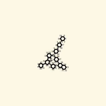 c1ccc(-c2ccc(-c3ccc(N(c4ccc(-c5ccc6ccccc6c5)cc4)c4cccc5c4sc4c(-c6ccccc6)cc(-c6ccccc6)cc45)cc3)cc2)cc1